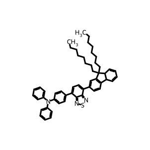 CCCCCCCCC1(CCCCCCCC)c2cc(-c3ccc(-c4ccc(N(c5ccccc5)c5ccccc5)cc4)c4nsnc34)ccc2C2C=CC=CC21